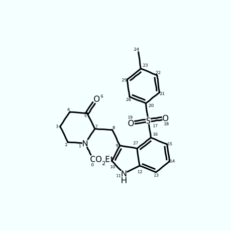 CCOC(=O)N1CCCC(=O)C1Cc1c[nH]c2cccc(S(=O)(=O)c3ccc(C)cc3)c12